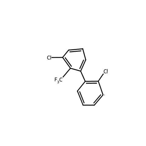 FC(F)(F)c1c(Cl)cccc1-c1ccc[c]c1Cl